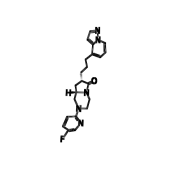 O=C1[C@@H](CCCc2cccn3nccc23)C[C@H]2CN(c3ccc(F)cn3)CCN12